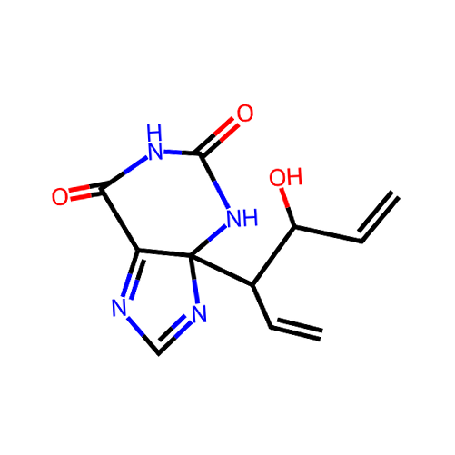 C=CC(O)C(C=C)C12N=CN=C1C(=O)NC(=O)N2